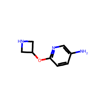 Nc1ccc(OC2CNC2)nc1